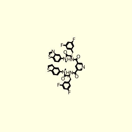 CN(C(=O)[C@H](Cc1cc(F)cc(F)c1)NC(=O)c1cncc(C(=O)N[C@@H](Cc2cc(F)cc(F)c2)C(=O)N(C)c2ccc3scnc3c2)c1)c1ccc2sccc2c1